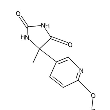 CC(C)Oc1ccc(C2(C)NC(=O)NC2=O)cn1